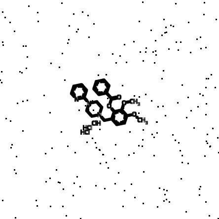 COc1ccc(CN2CCN(c3ccccn3)CC2)c(OC(=O)c2ccccc2)c1OC.Cl.Cl.Cl